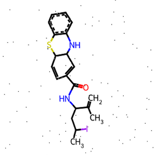 C=C(C)C(CC(C)I)NC(=O)C1=CC2Nc3ccccc3SC2C=C1